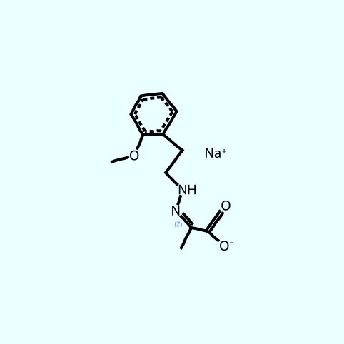 COc1ccccc1CCN/N=C(/C)C(=O)[O-].[Na+]